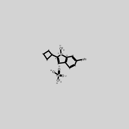 CCCc1ccc2cc(C3CCC3)[s+](C(F)(F)F)c2c1.O=S(=O)([O-])C(F)(F)F